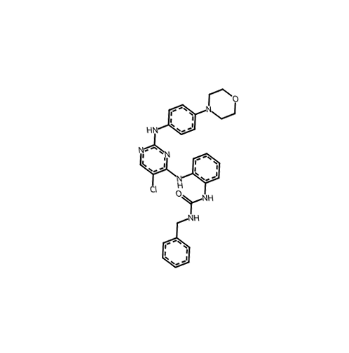 O=C(NCc1ccccc1)Nc1ccccc1Nc1nc(Nc2ccc(N3CCOCC3)cc2)ncc1Cl